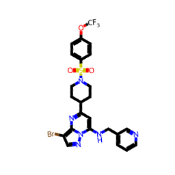 O=S(=O)(c1ccc(OC(F)(F)F)cc1)N1CCC(c2cc(NCc3cccnc3)n3ncc(Br)c3n2)CC1